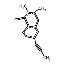 CC#Cc1ccc2c(=O)n(C)c(C)cc2c1